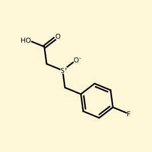 O=C(O)C[S+]([O-])Cc1ccc(F)cc1